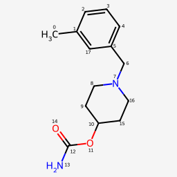 Cc1cccc(CN2CCC(OC(N)=O)CC2)c1